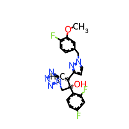 COc1cc(Cn2ccc([C@H](C)[C@](O)(Cn3cnnn3)c3ccc(F)cc3F)n2)ccc1F